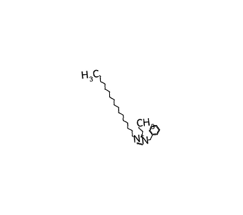 CCCCCCCCCCCCCCCCC[n+]1ccn(Cc2ccccc2)c1CCC